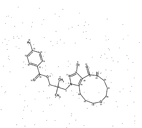 CCc1nn(CC(C)(C)COC(=O)c2ccc(C(C)=O)cc2)c2c1C(=O)NCCCOCCC2